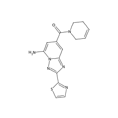 Nc1cc(C(=O)N2CC=CCC2)cc2nc(-c3nccs3)nn12